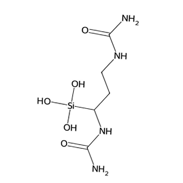 NC(=O)NCCC(NC(N)=O)[Si](O)(O)O